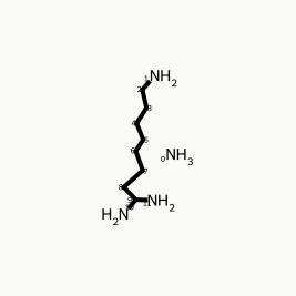 N.NCCCCCCCC(N)N